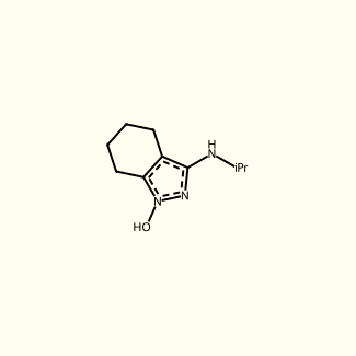 CC(C)Nc1nn(O)c2c1CCCC2